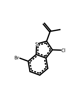 C=C(C)c1sc2c(Br)cccc2c1Cl